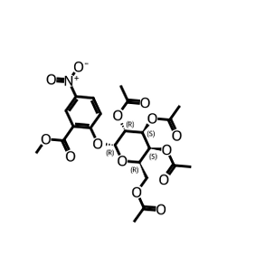 COC(=O)c1cc([N+](=O)[O-])ccc1O[C@H]1O[C@H](COC(C)=O)[C@H](OC(C)=O)[C@H](OC(C)=O)[C@H]1OC(C)=O